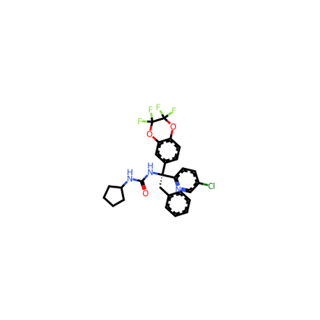 O=C(NC1CCCC1)N[C@@](Cc1ccccc1)(c1ccc2c(c1)OC(F)(F)C(F)(F)O2)c1ccc(Cl)cn1